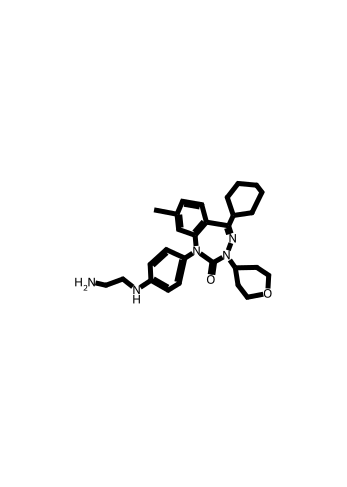 Cc1ccc2c(c1)N(c1ccc(NCCN)cc1)C(=O)N(C1CCOCC1)N=C2C1CCCCC1